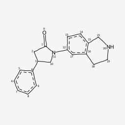 O=C1CC(c2ccccc2)CN1c1ccc2c(c1)CCNC2